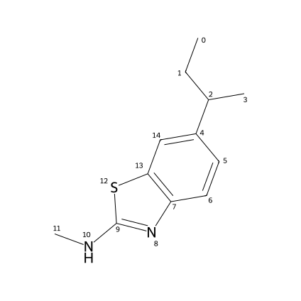 CCC(C)c1ccc2nc(NC)sc2c1